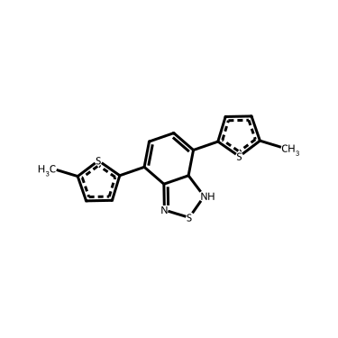 Cc1ccc(C2=CC=C(c3ccc(C)s3)C3NSN=C23)s1